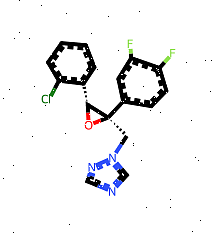 Fc1ccc([C@@]2(Cn3cncn3)O[C@@H]2c2ccccc2Cl)cc1F